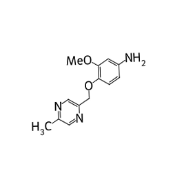 COc1cc(N)ccc1OCc1cnc(C)cn1